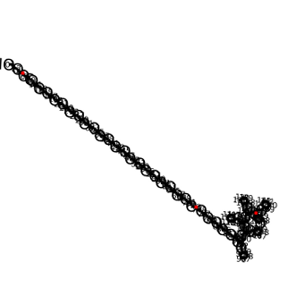 OCCOCCOCCOCCOCCOCCOCCOCCOCCOCCOCCOCCOCCOCCOCCOCCOCCOCCOCCOCCOCCOCCOCCOCCOCCOCCOCCOCCOCCOCCOC(COc1ccccc1)COC(COc1ccccc1)COC(COc1ccccc1)COC(COc1ccccc1)COC(COc1ccccc1)N1CCOCC1